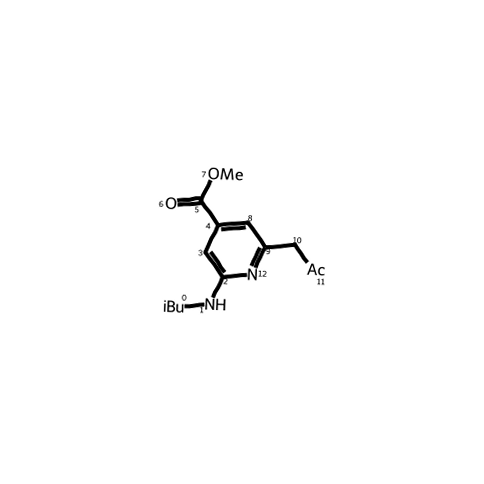 CCC(C)Nc1cc(C(=O)OC)cc(CC(C)=O)n1